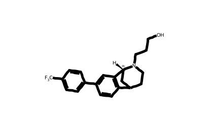 OCCCN1CCC2C[C@@H]1c1cc(-c3ccc(C(F)(F)F)cc3)ccc12